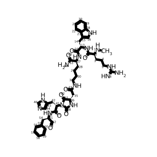 CN[C@@H](CCCNC(=N)N)C(=O)N[C@@H](Cc1c[nH]c2ccccc12)C(=O)N[C@@H](CCCCNC(=O)C[C@@H]1NC(=O)N([C@@H](Cc2cnc[nH]2)C(=O)N[C@@H](C=O)Cc2ccccc2)C1=O)C(N)=O